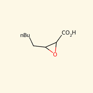 CCCCCC1OC1C(=O)O